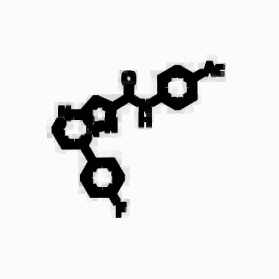 CC(=O)c1ccc(NC(=O)c2cc3nccc(-c4ccc(F)cc4)n3n2)cc1